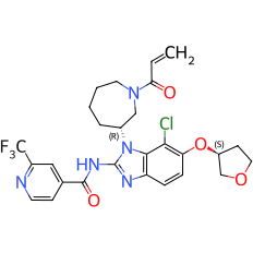 C=CC(=O)N1CCCC[C@@H](n2c(NC(=O)c3ccnc(C(F)(F)F)c3)nc3ccc(O[C@H]4CCOC4)c(Cl)c32)C1